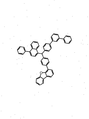 c1ccc(-c2cccc(-c3ccc(C(c4ccc(-c5cccc6c5oc5ccccc56)cc4)c4ccc(-c5ccccc5)c5ccccc45)cc3)c2)cc1